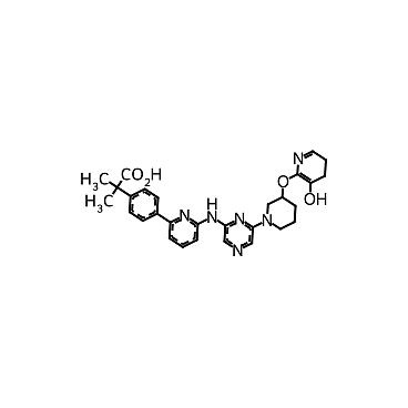 CC(C)(C(=O)O)c1ccc(-c2cccc(Nc3cncc(N4CCCC(OC5=C(O)CCC=N5)C4)n3)n2)cc1